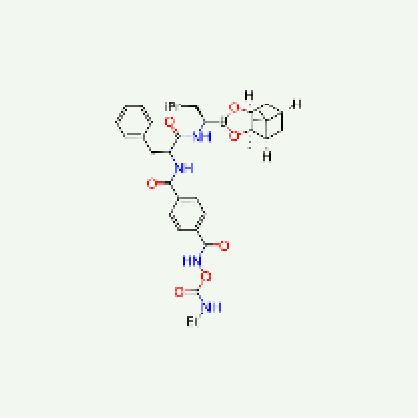 CCNC(=O)ONC(=O)c1ccc(C(=O)N[C@@H](Cc2ccccc2)C(=O)N[C@@H](CC(C)C)B2O[C@H]3C[C@H]4C[C@H](C4(C)C)[C@@]3(C)O2)cc1